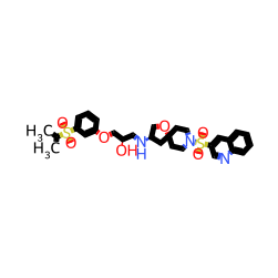 CC(C)S(=O)(=O)c1cccc(OC[C@@H](O)CN[C@H]2COC3(CCN(S(=O)(=O)c4cnc5ccccc5c4)CC3)C2)c1